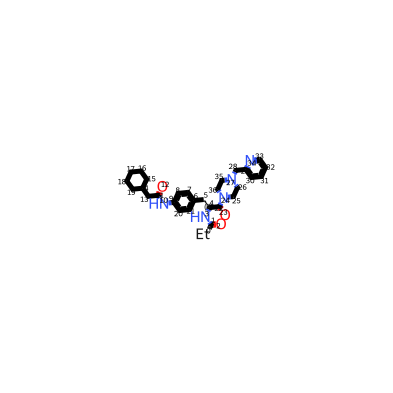 CCC(=O)N[C@H](Cc1ccc(NC(=O)CC2CCCCC2)cc1)C(=O)N1CCN(Cc2ccccn2)CC1